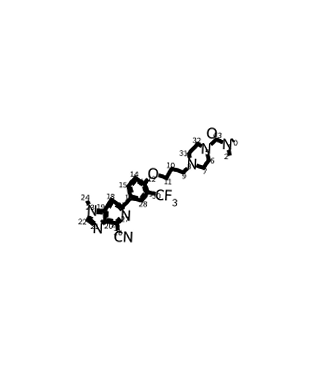 CN(C)C(=O)N1CCN(CCCOc2ccc(-c3cc4c(ncn4C)c(C#N)n3)cc2C(F)(F)F)CC1